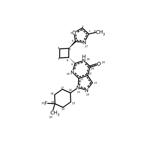 Cc1coc([C@@H]2CC[C@H]2c2nc3c(cnn3C3CCC(C)(F)CC3)c(=O)[nH]2)n1